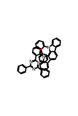 c1ccc(-c2nc(-c3ccccc3)nc(-c3ccccc3-n3c4ccccc4c4ccc5c6ccccc6n(-c6ccccc6-c6ccccc6)c5c43)n2)cc1